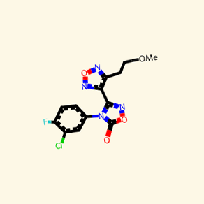 COCCc1nonc1-c1noc(=O)n1-c1ccc(F)c(Cl)c1